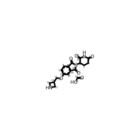 O=C1CCC(N2C(=O)c3ccc(OCC4CNC4)cc3C2=O)C(=O)N1.O=CO